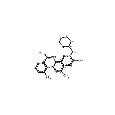 Cc1nnc(N[C@H](C)c2cccc(C(F)(F)F)c2)c2cn(CC3CCOCC3)c(=O)cc12